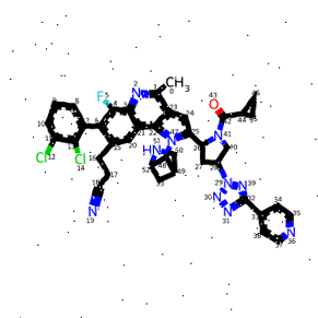 Cc1nc2c(F)c(-c3cccc(Cl)c3Cl)c(CCC#N)cc2c2c1cc(C1CC(n3nnc(-c4ccncc4)n3)CN1C(=O)C1CC1)n2C1C2CNC1C2